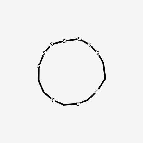 C1CCCCSSSSSSSCCCC1